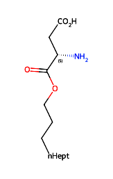 CCCCCCCCCCOC(=O)[C@@H](N)CC(=O)O